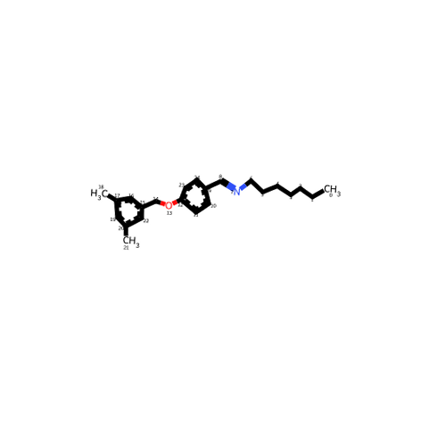 CCCCCCCN=Cc1ccc(OCc2cc(C)cc(C)c2)cc1